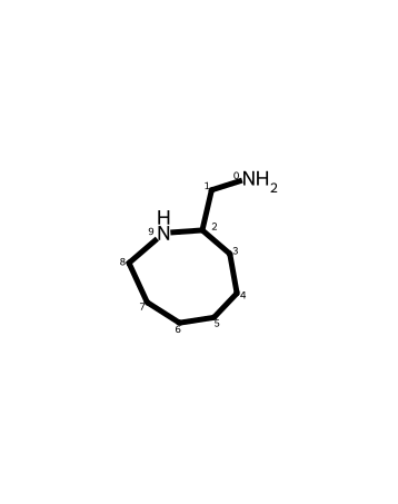 NCC1CCCCCCN1